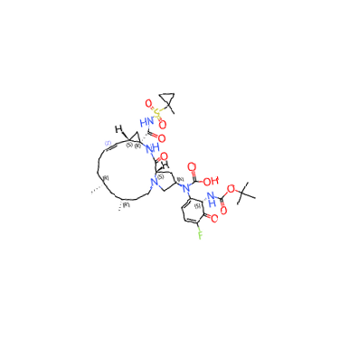 C[C@@H]1CC/C=C\[C@@H]2C[C@@]2(C(=O)NS(=O)(=O)C2(C)CC2)NC(=O)[C@@H]2C[C@@H](N(C(=O)O)C3=CC=C(F)C(=O)[C@H]3NC(=O)OC(C)(C)C)CN2CC[C@H](C)C1